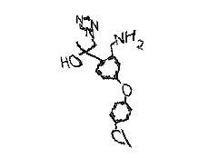 CC(O)(Cn1cncn1)c1ccc(Oc2ccc(Cl)cc2)cc1CN